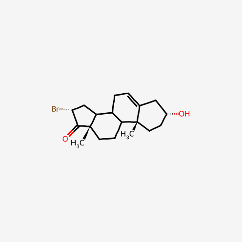 C[C@]12CC[C@@H](O)CC1=CCC1C2CC[C@]2(C)C(=O)[C@H](Br)CC12